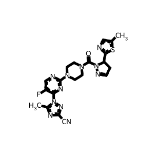 Cc1cnc(C2CC=NN2C(=O)N2CCN(c3ncc(F)c(-n4nc(C#N)nc4C)n3)CC2)s1